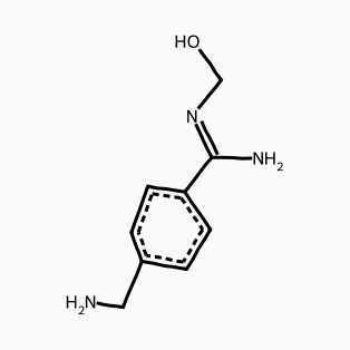 NCc1ccc(/C(N)=N/CO)cc1